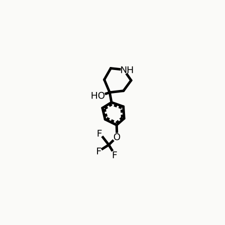 OC1(c2ccc(OC(F)(F)F)cc2)CCNCC1